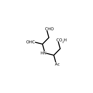 CC(=O)C(CC(=O)O)NC(C=O)CC=O